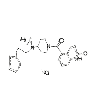 CN(CCc1ccccc1)C1CCN(C(=O)c2cccc3[nH]c(=O)ccc23)CC1.Cl